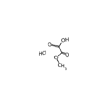 COC(=O)C(=O)O.Cl